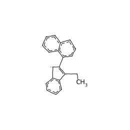 CCC1=C(c2cccc3ccccc23)[CH]c2ccccc21